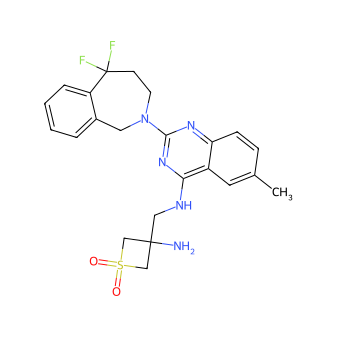 Cc1ccc2nc(N3CCC(F)(F)c4ccccc4C3)nc(NCC3(N)CS(=O)(=O)C3)c2c1